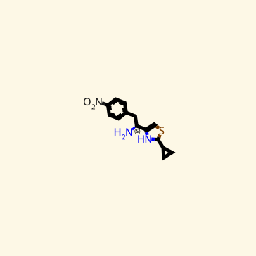 N[C@@H](Cc1ccc([N+](=O)[O-])cc1)C1=CSC(C2CC2)N1